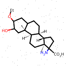 CCOC1CC2CC[C@@H]3[C@@H](CC[C@@]4(C)[C@H]3CCC4(N)C(=O)O)[C@@]2(C)CC1O